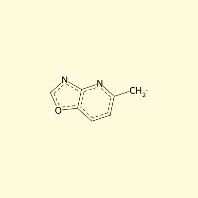 [CH2]c1ccc2ocnc2n1